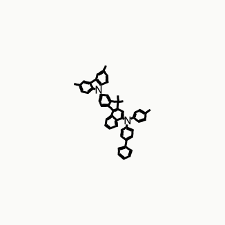 Cc1ccc(N(c2ccc(-c3ccccc3)cc2)c2cc3c(c4ccccc24)-c2ccc(-n4c5ccc(C)cc5c5cc(C)ccc54)cc2C3(C)C)cc1